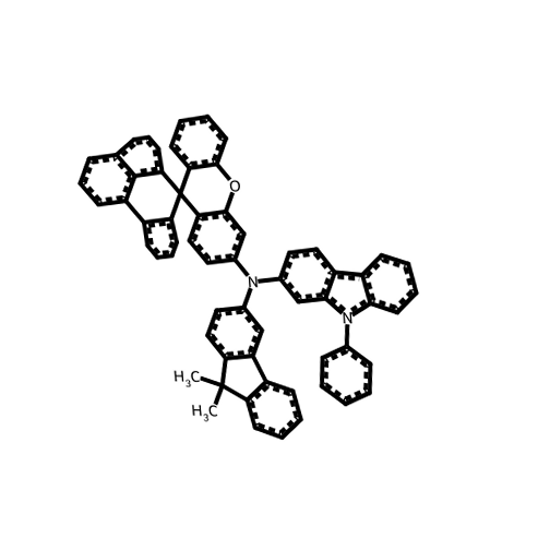 CC1(C)c2ccccc2-c2cc(N(c3ccc4c(c3)Oc3ccccc3C43c4ccccc4-c4cccc5cccc3c45)c3ccc4c5ccccc5n(-c5ccccc5)c4c3)ccc21